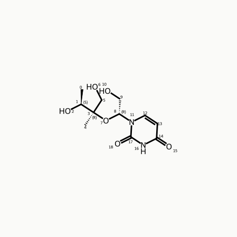 C[C@H](O)[C@@](C)(CO)O[C@H](CO)n1ccc(=O)[nH]c1=O